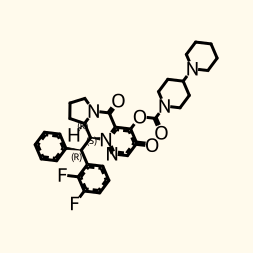 O=C(Oc1c2n(ncc1=O)[C@@H]([C@H](c1ccccc1)c1cccc(F)c1F)[C@H]1CCCN1C2=O)N1CCC(N2CCCCC2)CC1